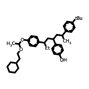 CCC(CC(CC(C)c1ccc(C(C)(C)C)cc1)c1ccc(O)cc1)c1ccc(OC(C)OCCC2CCCCC2)cc1